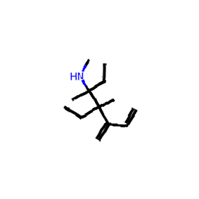 C=CC(=C)C(C)(CC)C(C)(CC)NC